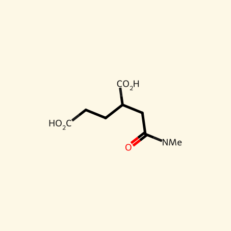 CNC(=O)CC(CCC(=O)O)C(=O)O